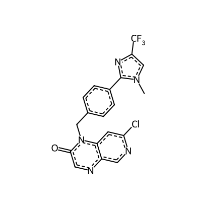 Cn1cc(C(F)(F)F)nc1-c1ccc(Cn2c(=O)cnc3cnc(Cl)cc32)cc1